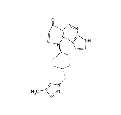 Cc1cnn(C[C@H]2CC[C@H](n3ccc(=O)c4cnc5[nH]ccc5c43)CC2)c1